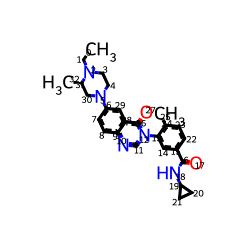 CCN1CCN(c2ccc3ncn(-c4cc(C(=O)NC5CC5)ccc4C)c(=O)c3c2)C[C@H]1C